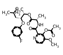 COc1ccnc(C(=O)N[C@@H](C)C(=O)O[C@@H](C)[C@@H](CC(C)C)Oc2cccc(F)c2)c1OC(C)=O